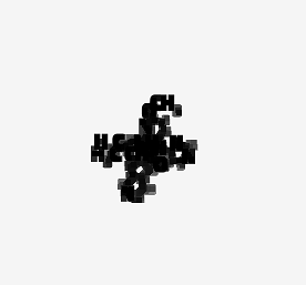 COc1ccc(N(c2ccncn2)S(=O)(=O)c2ccc3cnccc3c2)c(NCC(C)(C)C)n1